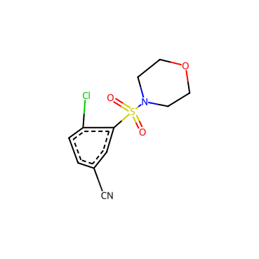 N#Cc1ccc(Cl)c(S(=O)(=O)N2CCOCC2)c1